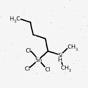 CCCC[CH]([SiH](C)C)[Sn]([Cl])([Cl])[Cl]